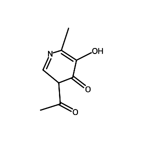 CC(=O)C1C=NC(C)=C(O)C1=O